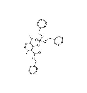 Cc1ccc(C(C)C)c(OP(=O)(OCc2ccccc2)OCc2ccccc2)c1C(=O)OCc1ccccc1